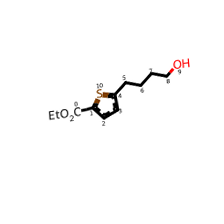 CCOC(=O)c1ccc(CCCCO)s1